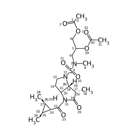 CC(=O)OCC(CN(C)S(=O)(=O)N1CC[C@H]2[C@H]1[C@H](C)C(=O)N2C(=O)C1[C@@H](C)[C@H]1C)OC(C)=O